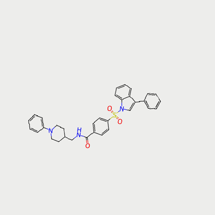 O=C(NCC1CCN(c2ccccc2)CC1)c1ccc(S(=O)(=O)n2cc(-c3ccccc3)c3ccccc32)cc1